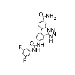 NC(=O)c1ccc(-c2ccc(NC(=O)Nc3cc(F)cc(F)c3)cc2-c2nnn[nH]2)cc1